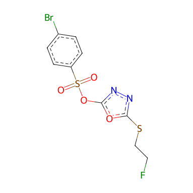 O=S(=O)(Oc1nnc(SCCF)o1)c1ccc(Br)cc1